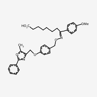 COc1ccc(C(CCCCCCC(=O)O)=NOCc2ccc(OCc3nc(-c4ccccc4)oc3C)cc2)cc1